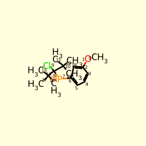 COc1cccc(PC(Cl)(C(C)(C)C)C(C)(C)C)c1